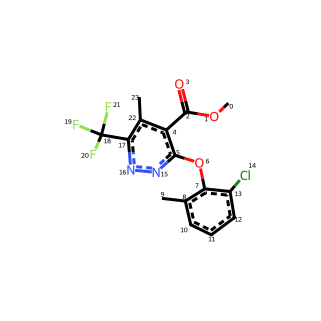 COC(=O)c1c(Oc2c(C)cccc2Cl)nnc(C(F)(F)F)c1C